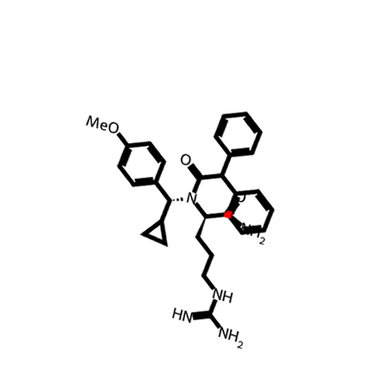 COc1ccc([C@@H](C2CC2)N(C(=O)C(c2ccccc2)c2ccccc2)[C@H](CCCNC(=N)N)C(N)=O)cc1